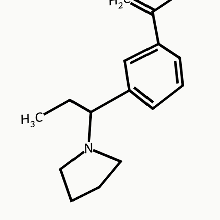 C=C(C)c1cccc(C(CC)N2CCCC2)c1